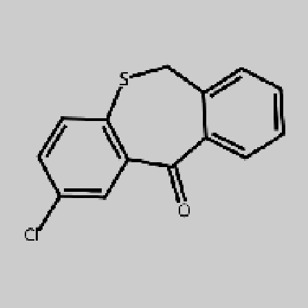 O=C1c2ccccc2CSc2ccc(Cl)cc21